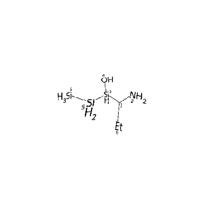 CCC(N)[SiH](O)[SiH2][SiH3]